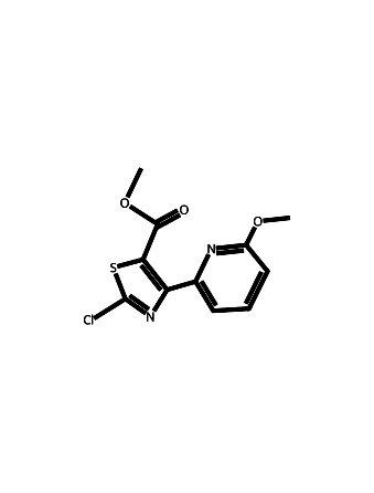 COC(=O)c1sc(Cl)nc1-c1cccc(OC)n1